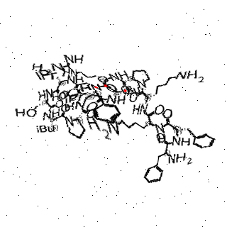 CC[C@H](C)[C@H](NC(=O)[C@@H](NC(=O)[C@H](CCCNC(=N)N)NC(=O)[C@@H]1CCCN1C(=O)[C@H](CCCCN)NC(=O)[C@H](CCCCN)NC(=O)[C@H](Cc1ccccc1)NC(=O)[C@@H](N)Cc1ccccc1)C(C)C)C(=O)NCC(=O)N[C@H](C(=O)N[C@@H](CO)C(=O)N[C@H](C(=O)N1CCC[C@H]1C(=O)N[C@@H](Cc1ccccc1)C(=O)O)[C@@H](C)CC)C(C)C